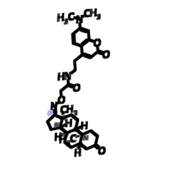 CN(C)c1ccc2c(CCNC(=O)CO/N=C3/CC[C@H]4[C@@H]5CC[C@H]6CC(=O)CC[C@]6(C)[C@H]5CC[C@]34C)cc(=O)oc2c1